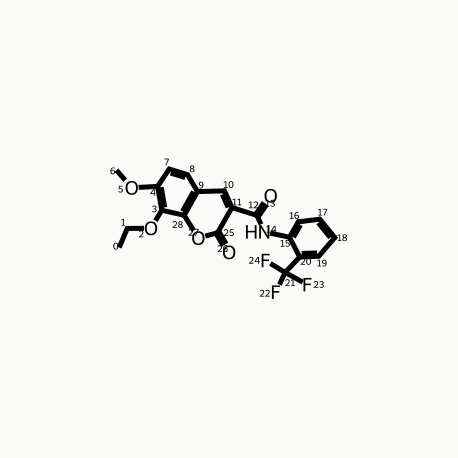 CCOc1c(OC)ccc2cc(C(=O)Nc3ccccc3C(F)(F)F)c(=O)oc12